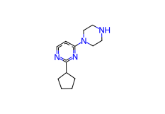 c1cc(N2CCNCC2)nc(C2CCCC2)n1